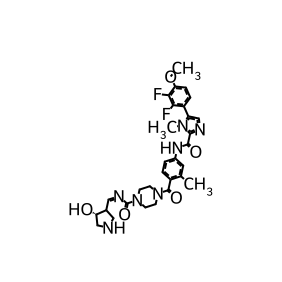 COc1ccc(-c2cnc(C(=O)Nc3ccc(C(=O)N4CCN(C(=O)/N=C\C5CNC[C@@H]5O)CC4)c(C)c3)n2C)c(F)c1F